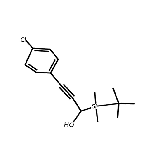 CC(C)(C)[Si](C)(C)C(O)C#Cc1ccc(Cl)cc1